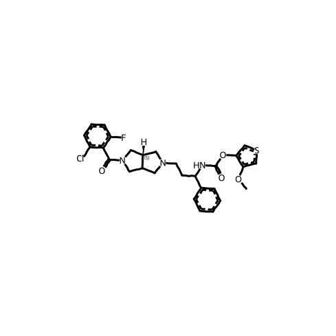 COc1cscc1OC(=O)NC(CCN1CC2CN(C(=O)c3c(F)cccc3Cl)C[C@@H]2C1)c1ccccc1